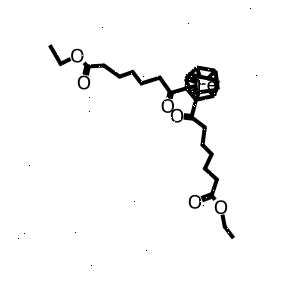 CCOC(=O)CCCCCC(=O)[C]12[CH]3[CH]4[CH]5[C]1(C(=O)CCCCCC(=O)OCC)[Fe]43521678[CH]2[CH]1[CH]6[CH]7[CH]28